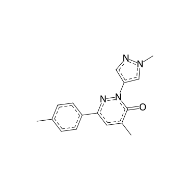 Cc1ccc(-c2cc(C)c(=O)n(-c3cnn(C)c3)n2)cc1